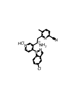 Cc1ccc(C#N)nc1C[C@H](N)c1cnccc1-n1ncc2cc(Cl)ccc21.Cl